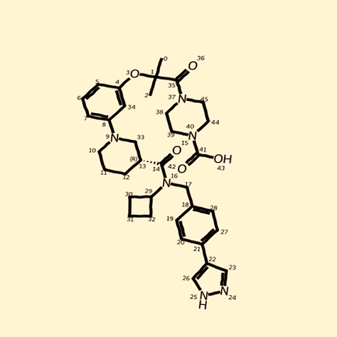 CC(C)(Oc1cccc(N2CCC[C@@H](C(=O)N(Cc3ccc(-c4cn[nH]c4)cc3)C3CCC3)C2)c1)C(=O)N1CCN(C(=O)O)CC1